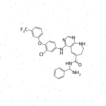 NC(NC(=O)C1=Cc2c(ncnc2Nc2ccc(Oc3cccc(C(F)(F)F)c3)c(Cl)c2)NCC1)c1ccccc1